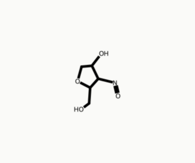 O=NC1C(O)COC1CO